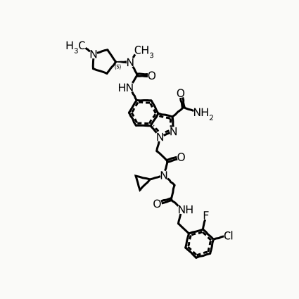 CN1CC[C@H](N(C)C(=O)Nc2ccc3c(c2)c(C(N)=O)nn3CC(=O)N(CC(=O)NCc2cccc(Cl)c2F)C2CC2)C1